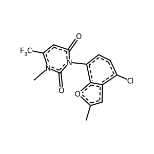 Cc1cc2c(Cl)ccc(-n3c(=O)cc(C(F)(F)F)n(C)c3=O)c2o1